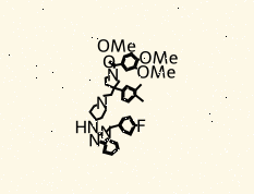 COc1cc(C(=O)N2CCC(CCN3CCC(Nc4nc5ccccc5n4Cc4ccc(F)cc4)CC3)(c3ccc(C)c(C)c3)C2)cc(OC)c1OC